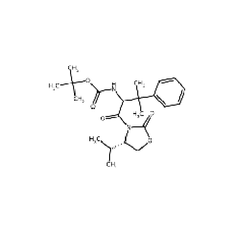 CC(C)[C@H]1COC(=O)N1C(=O)C(NC(=O)OC(C)(C)C)C(C)(C)c1ccccc1